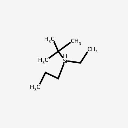 CCC[SiH](CC)C(C)(C)C